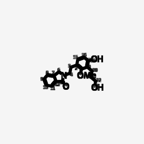 COc1c(CCN2Cc3ccccc3C2=O)ccc(O)c1CCCO